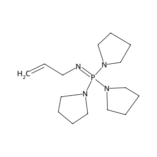 C=CCN=P(N1CCCC1)(N1CCCC1)N1CCCC1